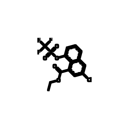 CCOC(=O)c1cc(Cl)cc2cccc(OS(=O)(=O)C(F)(F)F)c12